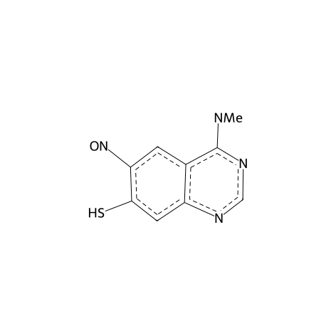 CNc1ncnc2cc(S)c(N=O)cc12